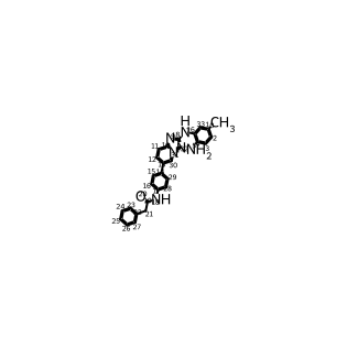 Cc1ccc(N)c(Nc2nc3ccc(-c4ccc(NC(=O)Cc5ccccc5)cc4)cn3n2)c1